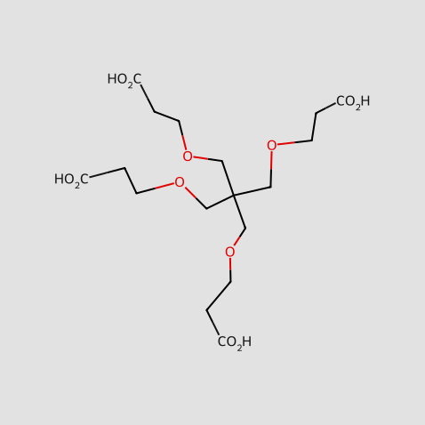 O=C(O)CCOCC(COCCC(=O)O)(COCCC(=O)O)COCCC(=O)O